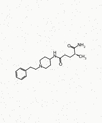 C[C@@H](C[CH]C(=O)NC1CCN(CCc2ccccc2)CC1)C(N)=O